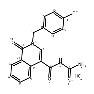 Cl.N=C(N)NC(=O)c1cn(Cc2ccc(F)cc2)c(=O)c2ccccc12